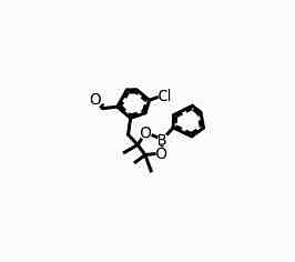 CC1(C)OB(c2ccccc2)OC1(C)Cc1cc(Cl)ccc1C=O